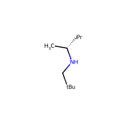 CC(C)[C@@H](C)NCC(C)(C)C